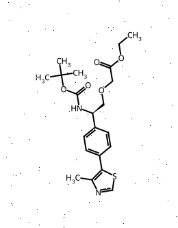 CCOC(=O)COC[C@H](NC(=O)OC(C)(C)C)c1ccc(-c2scnc2C)cc1